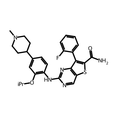 CC(C)Oc1cc(C2CCN(C)CC2)ccc1Nc1ncc2sc(C(N)=O)c(-c3ccccc3F)c2n1